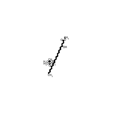 CCC=CCC(C=CC=CCC=CCC=CC=CC(O)CCC(=O)OC)O[Si](C)(C)C(C)(C)C